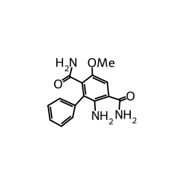 COc1cc(C(N)=O)c(N)c(-c2ccccc2)c1C(N)=O